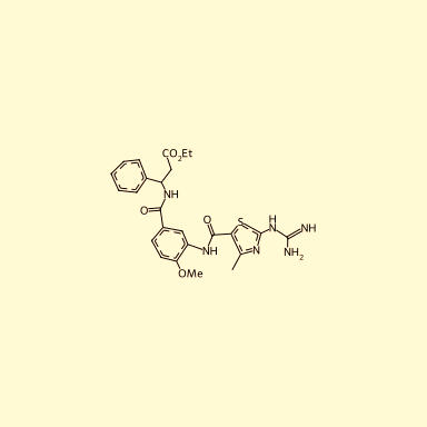 CCOC(=O)CC(NC(=O)c1ccc(OC)c(NC(=O)c2sc(NC(=N)N)nc2C)c1)c1ccccc1